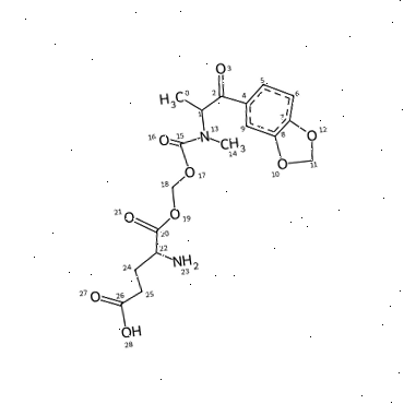 CC(C(=O)c1ccc2c(c1)OCO2)N(C)C(=O)OCOC(=O)C(N)CCC(=O)O